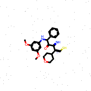 COc1cc(NC(C(=O)C(=N)/C(=C\S)C2CCOCC2)c2ccccc2)cc(OC)c1